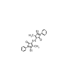 CCn1c(C)c(SSc2c(C)n(CC)n(-c3ccccc3)c2=O)c(=O)n1-c1ccccc1